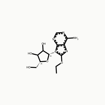 CCOc1nc2c(N)ncnc2n1[C@@H]1O[C@H](CO)C(O)C1O